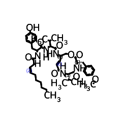 CCCCCC/C=C\CC(=O)NC(Cc1ccc(O)cc1)C(=O)NC(C(=O)N[C@@H]1/C=C/C(=O)N[C@@H](C(C)C)C(=O)N[C@@H](Cc2ccc(OC)cc2)C(=O)OC1)C(C)C